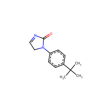 CC(C)(C)c1ccc(N2CC=NC2=O)cc1